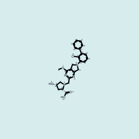 COc1nc(CN2C[C@@H](O)C[C@H]2C(=O)O)nc2c1CN(c1cccc(-c3ccccc3)c1Cl)C2